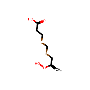 C=C(CSCSCCC(=O)O)OO